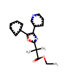 CCOC(=O)C(C)(C)c1nc(-c2cccnc2)c(-c2ccccc2)o1